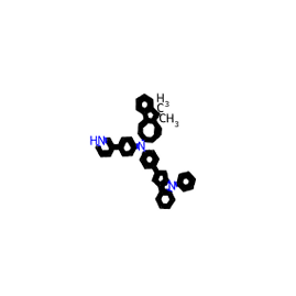 CC1(C)c2ccccc2/C2=C/CC(N(C3=CC=C(C4=CNCC=C4)CC3)c3ccc(C4=Cc5c6c(n(-c7ccccc7)c5C4)CCCC6)cc3)CC#CC21